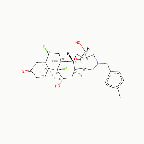 Cc1ccc(CN2C[C@@H]3C[C@H]4[C@@H]5C[C@H](F)C6=CC(=O)C=C[C@]6(C)[C@@]5(F)[C@@H](O)C[C@]4(C)[C@]3(C(=O)CO)C2)cc1